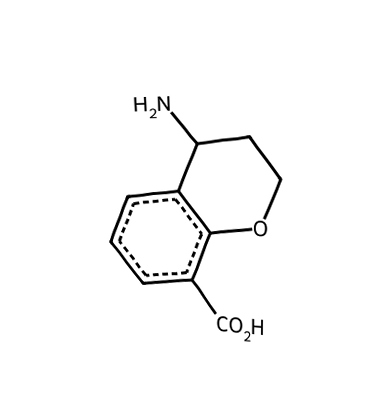 NC1CCOc2c(C(=O)O)cccc21